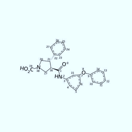 O=C(Nc1cccc(Oc2ccccc2)c1)[C@H]1CN(C(=O)O)C[C@@H]1c1ccccc1